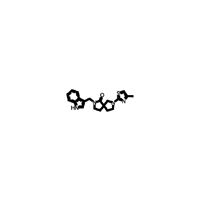 Cc1csc(N2CCC3(CCN(Cc4c[nH]c5ccccc45)C3=O)C2)n1